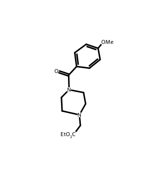 CCOC(=O)CN1CCN(C(=O)c2ccc(OC)cc2)CC1